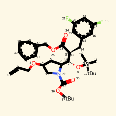 C=CCOC1CC([C@@H](O[Si](C)(C)C(C)(C)C)[C@H](Cc2cc(F)cc(F)c2)C(=O)OCc2ccccc2)N(C(=O)OC(C)(C)C)C1